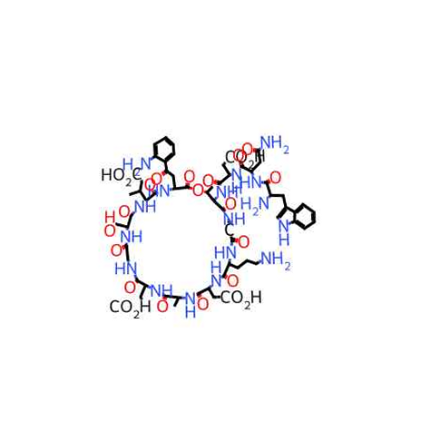 CC1NC(=O)C(CC(=O)O)NC(=O)C(CCCN)NC(=O)CNC(=O)C(NC(=O)C(CC(=O)O)NC(=O)C(CC(N)=O)NC(=O)C(N)Cc2c[nH]c3ccccc23)C(C)OC(=O)C(CC(=O)c2ccccc2N)NC(=O)C(C(C)CC(=O)O)NC(=O)C(CO)NC(=O)CNC(=O)C(CC(=O)O)NC1=O